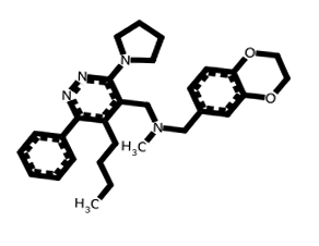 CCCCc1c(-c2ccccc2)nnc(N2CCCC2)c1CN(C)Cc1ccc2c(c1)OCCO2